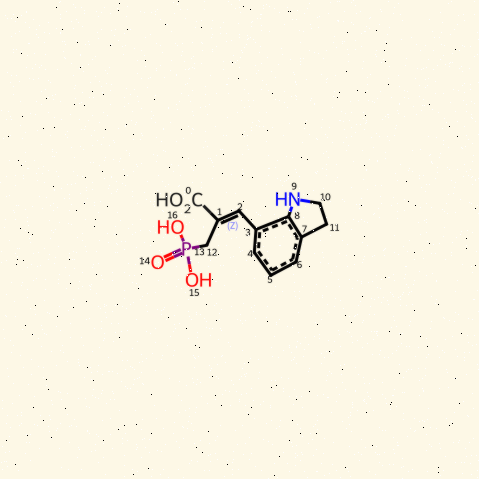 O=C(O)/C(=C/c1cccc2c1NCC2)CP(=O)(O)O